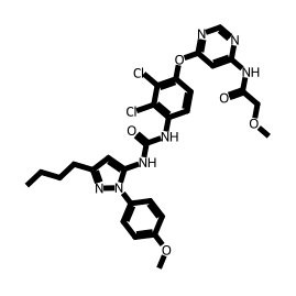 CCCCc1cc(NC(=O)Nc2ccc(Oc3cc(NC(=O)COC)ncn3)c(Cl)c2Cl)n(-c2ccc(OC)cc2)n1